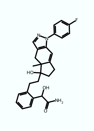 CC12Cc3cnn(-c4ccc(F)cc4)c3C=C1CCC2(O)CCc1ccccc1C(O)C(N)=O